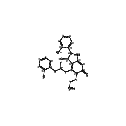 COCCn1c(CN(C)Cc2ccccc2Cl)c2c(=O)n(-c3ccccc3Cl)[nH]c2cc1=O